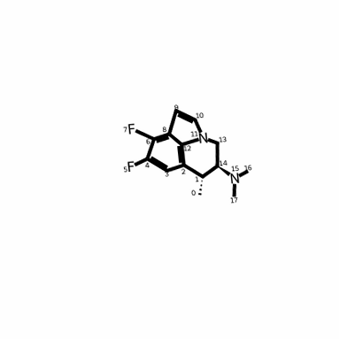 C[C@@H]1c2cc(F)c(F)c3ccn(c23)C[C@H]1N(C)C